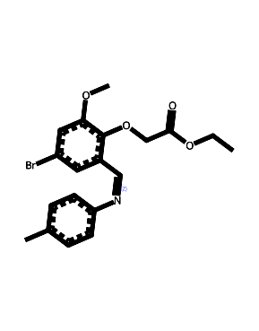 CCOC(=O)COc1c(/C=N\c2ccc(C)cc2)cc(Br)cc1OC